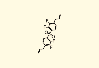 C=CCc1ccc(S(=O)(=O)c2ccc(CC=C)c(F)c2F)c(F)c1F